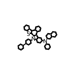 c1ccc(-c2ccc(-n3c4ccc(N(c5ccccc5)c5ccc6ccccc6c5)cc4c4c5ccccc5c5c6ccccc6sc5c43)cc2)cc1